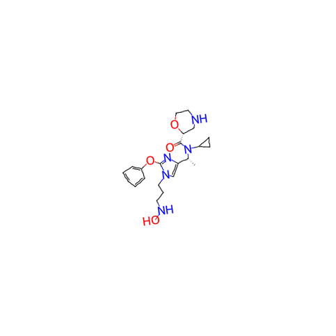 C[C@H](c1cn(CCCNO)c(Oc2ccccc2)n1)N(C(=O)[C@H]1CNCCO1)C1CC1